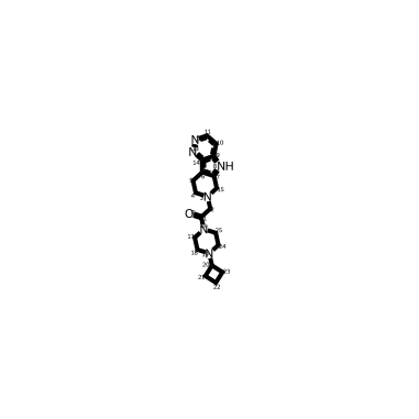 O=C(CN1CCc2c([nH]c3ccnnc23)C1)N1CCN(C2CCC2)CC1